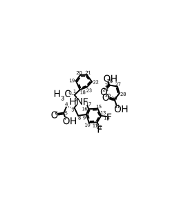 C[C@@H](N[C@@H](CC(=O)O)Cc1cc(F)c(F)cc1F)c1ccccc1.O=C(O)/C=C\C(=O)O